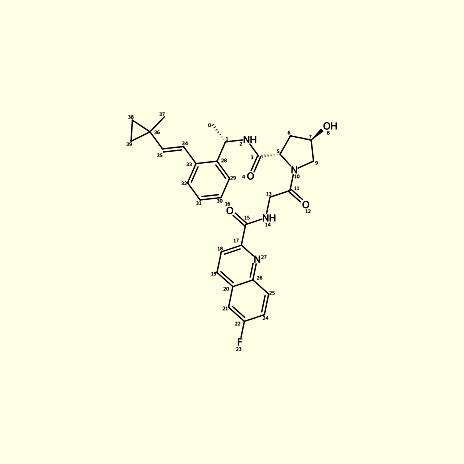 C[C@H](NC(=O)[C@@H]1C[C@@H](O)CN1C(=O)CNC(=O)c1ccc2cc(F)ccc2n1)c1ccccc1/C=C/C1(C)CC1